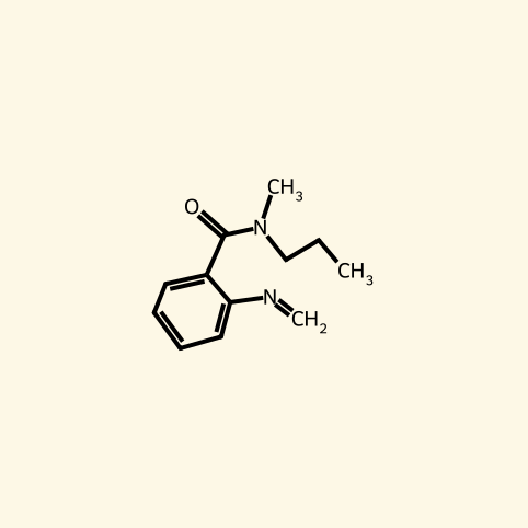 C=Nc1ccccc1C(=O)N(C)CCC